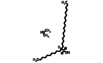 CCCCCCCCCCCCCCCCCCC(F)(CCCCCCCCCC)S(=O)(=O)O.CNC